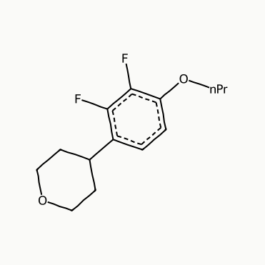 CCCOc1ccc(C2CCOCC2)c(F)c1F